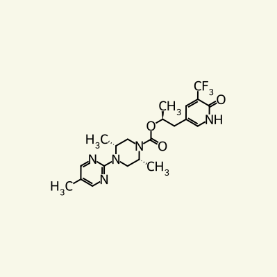 Cc1cnc(N2C[C@@H](C)N(C(=O)O[C@@H](C)Cc3c[nH]c(=O)c(C(F)(F)F)c3)C[C@H]2C)nc1